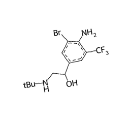 CC(C)(C)NCC(O)c1cc(Br)c(N)c(C(F)(F)F)c1